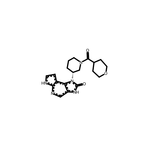 O=C(C1CCOCC1)N1CCC[C@@H](n2c(=O)[nH]c3cnc4[nH]ccc4c32)C1